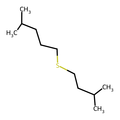 CC(C)CCCSCCC(C)C